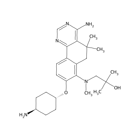 CN(CC(C)(C)O)c1c(O[C@H]2CC[C@H](N)CC2)ccc2c1CC(C)(C)c1c(N)ncnc1-2